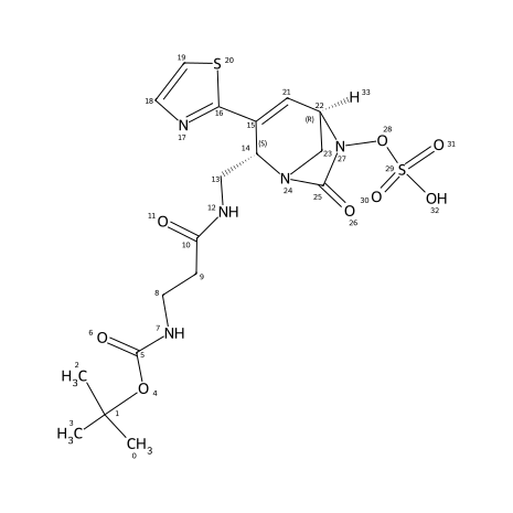 CC(C)(C)OC(=O)NCCC(=O)NC[C@@H]1C(c2nccs2)=C[C@@H]2CN1C(=O)N2OS(=O)(=O)O